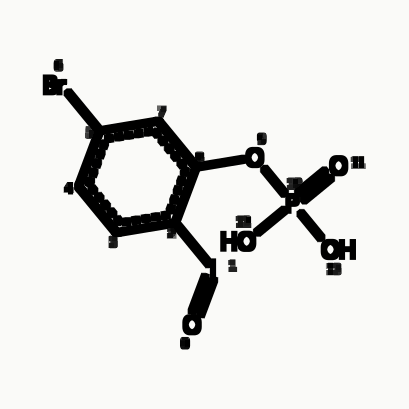 O=Ic1ccc(Br)cc1OP(=O)(O)O